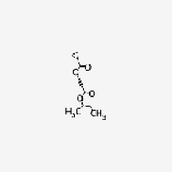 CCC(C)OC(=O)C#COC(=O)C1CC1